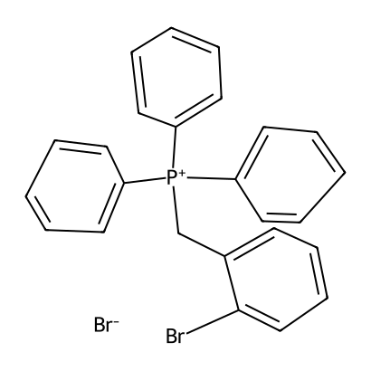 Brc1ccccc1C[P+](c1ccccc1)(c1ccccc1)c1ccccc1.[Br-]